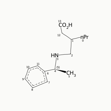 CCCC(CN[C@@H](C)c1ccccc1)CC(=O)O